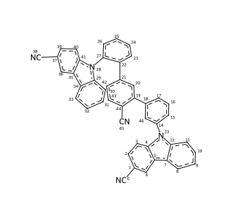 N#Cc1ccc2c(c1)c1ccccc1n2-c1cccc(-c2cc(-c3ccccc3-n3c4ccccc4c4cc(C#N)ccc43)ccc2C#N)c1